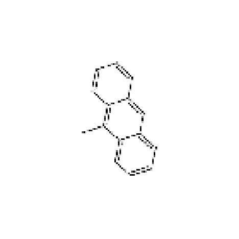 Cc1c2cc[c]cc2cc2ccccc12